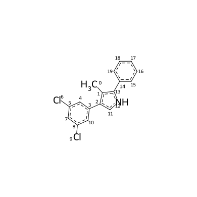 Cc1c(-c2cc(Cl)cc(Cl)c2)c[nH]c1-c1ccccc1